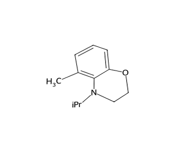 Cc1cccc2c1N(C(C)C)CCO2